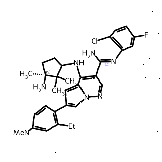 CCc1cc(NC)ccc1-c1cc2c(NC3CC[C@](C)(N)C3(C)C)c(/C(N)=N/c3cc(F)ccc3Cl)cnn2c1